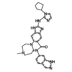 CN1CCCN(c2cc3[nH]c(Nc4nccn4C4CCCC4)nc3cc2C(=O)Nc2ccc3cn[nH]c3c2)CC1